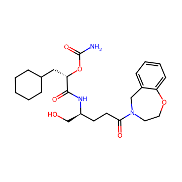 NC(=O)O[C@@H](CC1CCCCC1)C(=O)N[C@H](CO)CCC(=O)N1CCOc2ccccc2C1